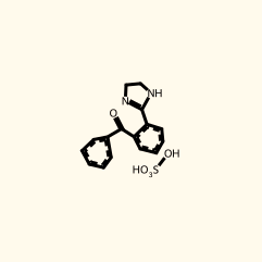 O=C(c1ccccc1)c1ccccc1C1=NCCN1.O=S(=O)(O)O